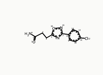 NC(=O)CCc1nc(-c2ccc(Cl)cc2)no1